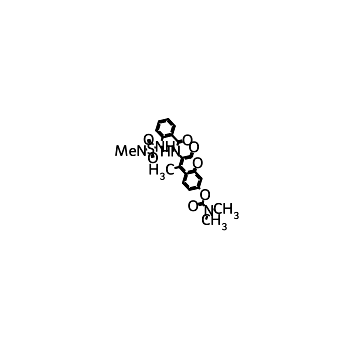 CNS(=O)(=O)Nc1ccccc1C(=O)Nc1c(C)c2ccc(OC(=O)N(C)C)cc2oc1=O